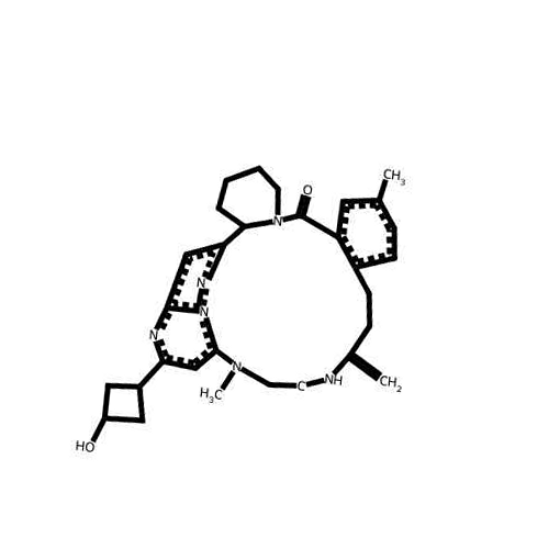 C=C1CCc2ccc(C)cc2C(=O)N2CCCCC2c2cc3nc(C4CC(O)C4)cc(n3n2)N(C)CCN1